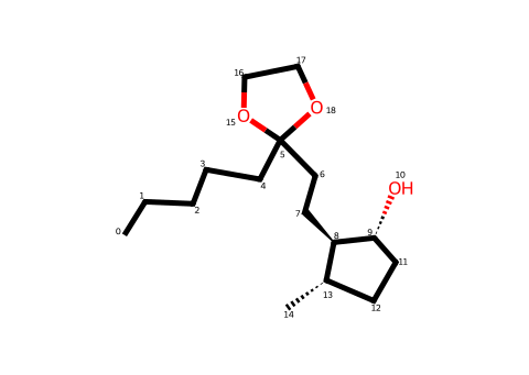 CCCCCC1(CC[C@H]2[C@H](O)CC[C@@H]2C)OCCO1